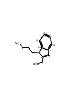 N#CCCCn1c(CO)cc2ccccc21